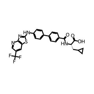 O=C(N[C@@H](CC1CC1)C(=O)O)c1ccc(-c2ccc(Nc3nc4ncc(C(F)(F)F)cc4s3)cc2)cc1